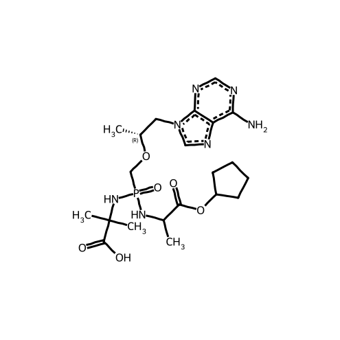 CC(NP(=O)(CO[C@H](C)Cn1cnc2c(N)ncnc21)NC(C)(C)C(=O)O)C(=O)OC1CCCC1